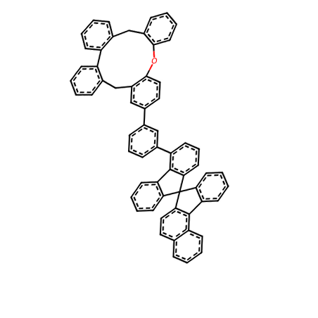 c1cc(-c2ccc3c(c2)Cc2ccccc2-c2ccccc2Cc2ccccc2O3)cc(-c2cccc3c2-c2ccccc2C32c3ccccc3-c3c2ccc2ccccc32)c1